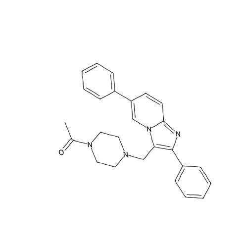 CC(=O)N1CCN(Cc2c(-c3ccccc3)nc3ccc(-c4ccccc4)cn23)CC1